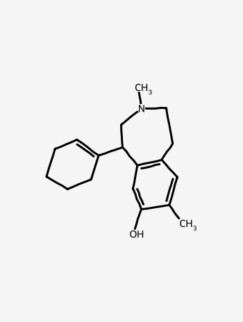 Cc1cc2c(cc1O)C(C1=CCCCC1)CN(C)CC2